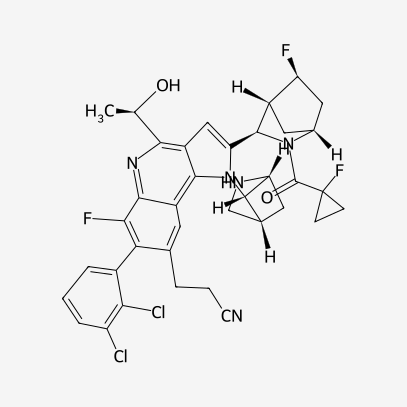 C[C@@H](O)c1nc2c(F)c(-c3cccc(Cl)c3Cl)c(CCC#N)cc2c2c1cc([C@H]1[C@H]3C[C@H](C[C@@H]3F)N1C(=O)C1(F)CC1)n2[C@H]1[C@H]2CN[C@@H]1C2